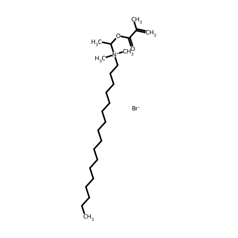 C=C(C)C(=O)OC(C)[N+](C)(C)CCCCCCCCCCCCCCCCC.[Br-]